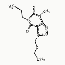 CCCn1c(=O)c2c(ncn2COCC)n(C)c1=O